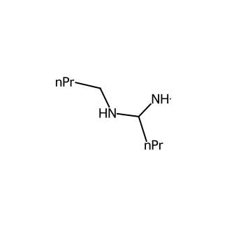 CCCCNC([NH])CCC